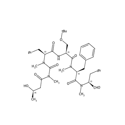 CC(C)C[C@@H](C=O)N(C)C(=O)[C@H](Cc1ccccc1)N(C)C(=O)[C@H](COC(C)(C)C)NC(=O)[C@H](CC(C)C)N(C)C(=O)N(C)C(=O)C[C@@H](C)O